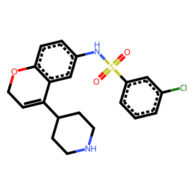 O=S(=O)(Nc1ccc2c(c1)C(C1CCNCC1)=CCO2)c1cccc(Cl)c1